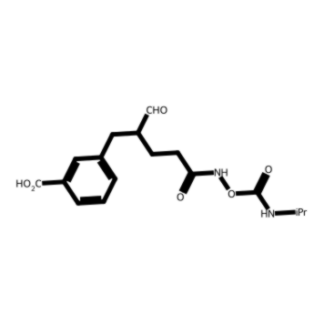 CC(C)NC(=O)ONC(=O)CCC(C=O)Cc1cccc(C(=O)O)c1